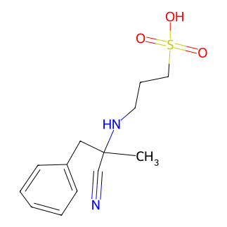 CC(C#N)(Cc1ccccc1)NCCCS(=O)(=O)O